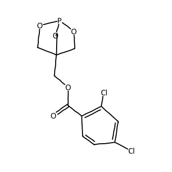 O=C(OCC12COP(OC1)OC2)c1ccc(Cl)cc1Cl